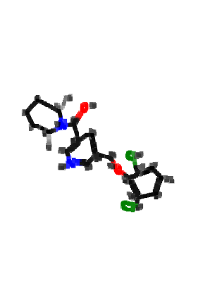 C[C@@H]1CCC[C@H](C)N1C(=O)c1cncc(COc2c(Cl)cccc2Cl)c1